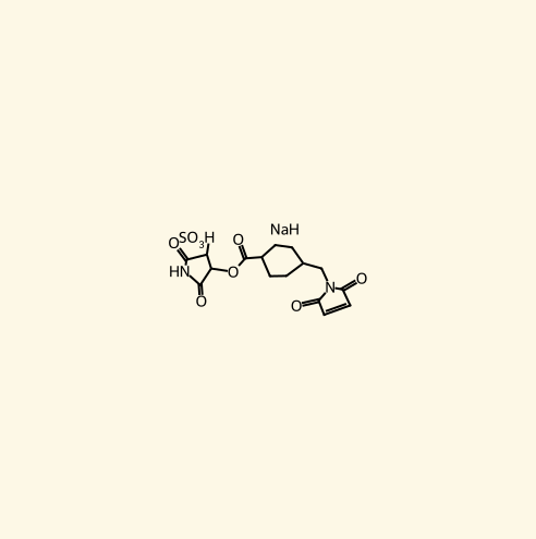 O=C(OC1C(=O)NC(=O)C1S(=O)(=O)O)C1CCC(CN2C(=O)C=CC2=O)CC1.[NaH]